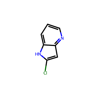 Clc1cc2ncccc2[nH]1